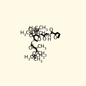 C[C@@H]([C@@H]1O[C@H]1C[C@H]1CO[C@@H](CC(=O)CNC(=O)c2ccco2)[C@@H](O[Si](C)(C)C)[C@@H]1O[Si](C)(C)C)[C@H](C)O[Si](C)(C)C